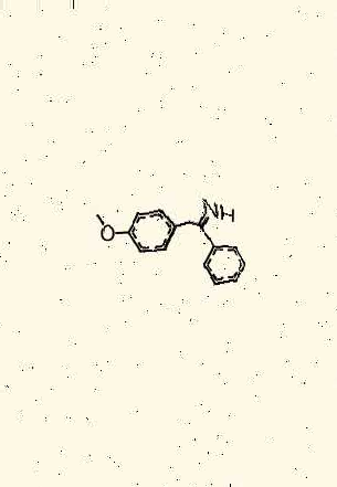 COc1ccc(C(=N)c2ccccc2)cc1